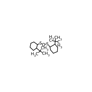 CC(C)(C)C1CCCCC1SOSC1CCCCC1C(C)(C)C